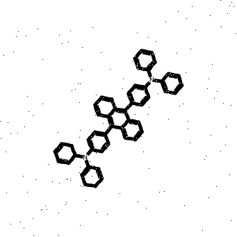 C1=CCC(N(C2=CCCC=C2)c2ccc(-c3c4ccccc4c(-c4ccc(N(c5ccccc5)c5ccccc5)cc4)c4ccccc34)cc2)C=C1